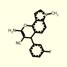 Cn1ccc2c3c(ccc21)C(c1cccc(F)c1)C(C#N)=C(N)O3